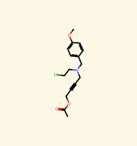 COc1ccc(CN(CC#CCOC(C)=O)CCCl)cc1